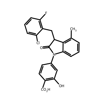 Cc1cccc2c1C(Cc1c(F)cccc1Cl)C(=O)N2c1ccc(C(=O)O)c(O)c1